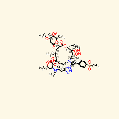 CC[C@H]1OC(=O)[C@H](C)[C@@H](O[C@H]2C[C@@](C)(OC)[C@@H](O)[C@H](C)O2)[C@H](C)[C@@H](O[C@@H]2O[C@H](C)C[C@H](N(C)CCc3cn([C@@H]4CC4c4ccc(S(C)(=O)=O)cc4)nn3)[C@H]2O)[C@](C)(O)C[C@@H](C)CN(C)[C@H](C)[C@@H](O)[C@]1(C)O